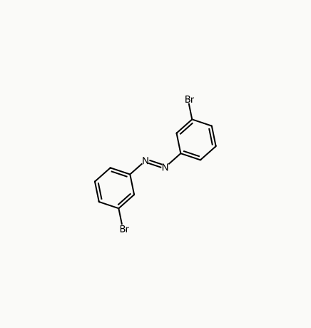 Brc1cccc(/N=N/c2cccc(Br)c2)c1